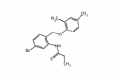 CCC(=S)Nc1cc(Br)ccc1COc1ccc(C)cc1C